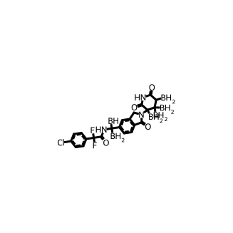 BC1C(=O)NC(=O)C(B)(N2Cc3cc(C(B)(B)NC(=O)C(F)(F)c4ccc(Cl)cc4)ccc3C2=O)C1(B)B